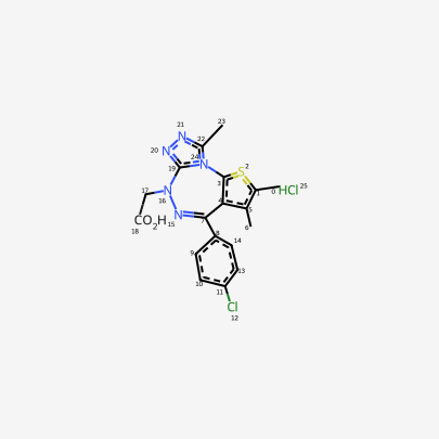 Cc1sc2c(c1C)C(c1ccc(Cl)cc1)=NN(CC(=O)O)c1nnc(C)n1-2.Cl